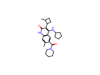 Cc1cc2[nH]c(=O)c(C3CCC3C)c(NC3CCCC3)c2cc1C(=O)N1CCCCC1